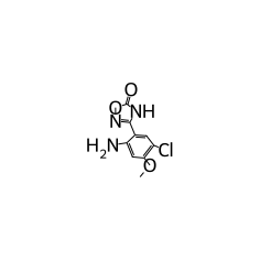 COc1cc(N)c(-c2noc(=O)[nH]2)cc1Cl